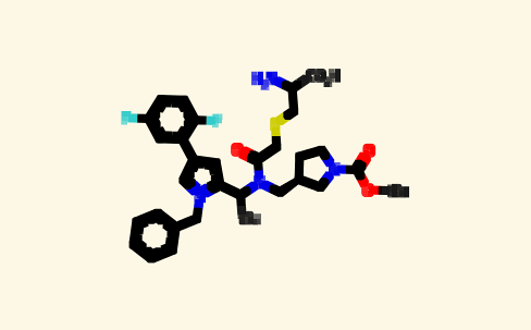 CC(C)(C)OC(=O)N1CC[C@H](CN(C(=O)CSCC(N)C(=O)O)C(c2cc(-c3cc(F)ccc3F)cn2Cc2ccccc2)C(C)(C)C)C1